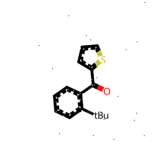 CC(C)(C)c1ccccc1C(=O)c1cccs1